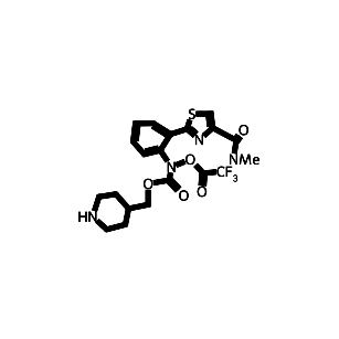 CNC(=O)c1csc(-c2ccccc2N(OC(=O)C(F)(F)F)C(=O)OCC2CCNCC2)n1